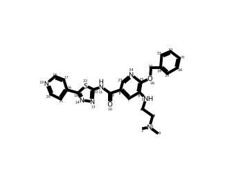 CN(C)CCNc1cc(C(=O)Nc2nnc(-c3ccncc3)s2)cnc1OCc1ccccc1